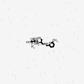 Cc1cccc(CN/C=C(/BOC(C)(C)C(C)(C)O)C=N)n1